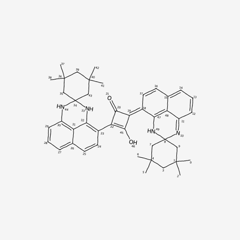 CC1(C)CC(C)(C)CC2(C1)N=c1cccc3cc/c(=C4\C(=O)C(c5ccc6cccc7c6c5NC5(CC(C)(C)CC(C)(C)C5)N7)=C4O)c(c13)N2